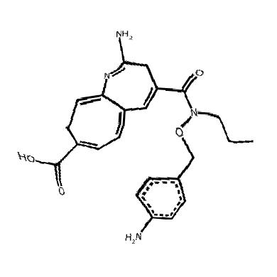 CCCN(OCc1ccc(N)cc1)C(=O)C1=CC2=CC=C(C(=O)O)CC=C2N=C(N)C1